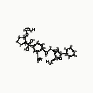 CCCc1cc(S(=O)(=O)N2CCC[C@H]2OC(=O)O)ccc1OCc1nc(-c2ccccc2)oc1C